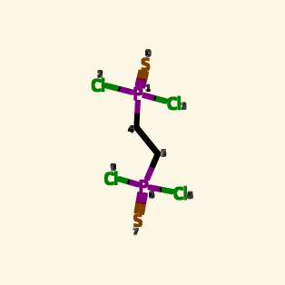 S=P(Cl)(Cl)CCP(=S)(Cl)Cl